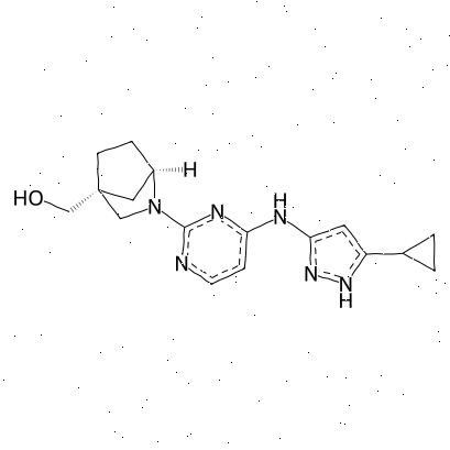 OC[C@]12CC[C@H](C1)N(c1nccc(Nc3cc(C4CC4)[nH]n3)n1)C2